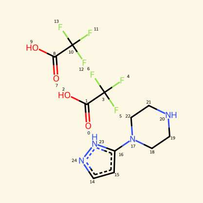 O=C(O)C(F)(F)F.O=C(O)C(F)(F)F.c1cc(N2CCNCC2)[nH]n1